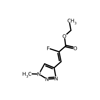 CCOC(=O)/C(F)=C/c1cn(C)nn1